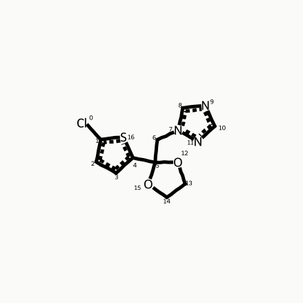 Clc1ccc(C2(Cn3cncn3)OCCO2)s1